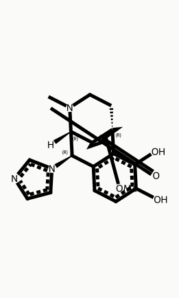 COC1=CC2[C@@H]3[C@H](n4ccnc4)c4ccc(O)c(O)c4[C@]2(CCN3C)CC1=O